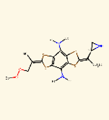 CCOOCC(C#N)=C1Sc2c(c(N(CC)CC)c3c(c2N(CC)CC)SC(=C(C(=O)OCC)[C@H]2CN2)S3)S1